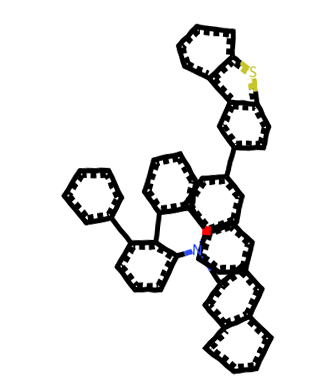 c1ccc(-c2ccccc2-c2c(-c3ccccc3)cccc2N(c2ccc(-c3ccc4sc5ccccc5c4c3)cc2)c2ccc3ccccc3c2)cc1